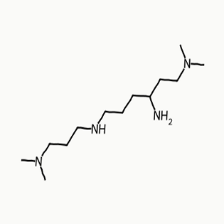 CN(C)CCCNCCCC(N)CCN(C)C